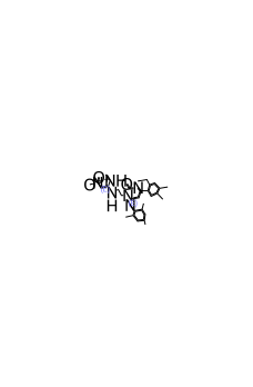 CN/C(=C\[N+](=O)[O-])NCCn1c(=O)n2c(c/c1=N\c1c(C)cc(C)cc1C)-c1cc(C)c(C)cc1CC2